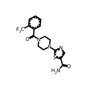 NC(=O)c1cnc(N2CCN(C(=O)c3ccccc3C(F)(F)F)CC2)s1